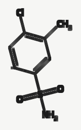 Cc1cc(S(N)(=O)=O)[c]cc1Cl